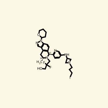 C[C@@H]1Cc2c(ccc3c2cnn3C2CCCCO2)[C@@H](c2ccc(NC3CN(CCCI)C3)cn2)N1CC(F)(F)CO